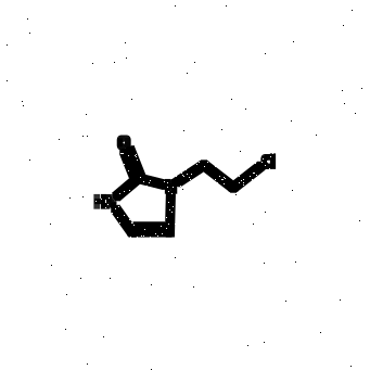 O=c1[nH]ccn1CCCl